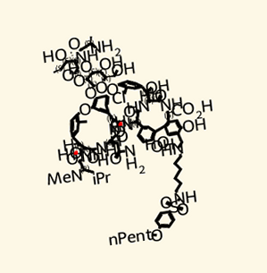 CCCCCOc1ccc(S(=O)(=O)NCCCCCCNCc2c(O)cc3c(c2O)-c2cc(ccc2O)[C@H]2NC(=O)[C@@H]4NC(=O)[C@H](CC(N)=O)NC(=O)[C@H](NC(=O)[C@@H](CC(C)C)NC)[C@H](O)c5ccc(c(C)c5)Oc5cc4cc(c5O[C@@H]4O[C@H](CO)[C@@H](O)[C@H](O)[C@H]4O[C@H]4C[C@](C)(NC(=O)[C@@H](C)N)[C@H](O)[C@H](C)O4)Oc4ccc(cc4Cl)[C@@H](O)[C@H](NC2=O)C(=O)N[C@@H]3C(=O)O)cc1